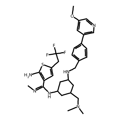 C/N=C(/NC1CC(CN(C)C)CC(NCc2ccc(-c3cncc(OC)c3)cc2)C1)c1cc(CC(F)(F)F)sc1N